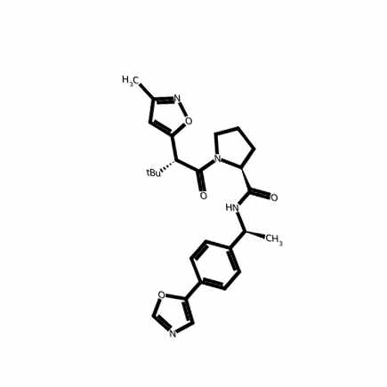 Cc1cc([C@H](C(=O)N2CCC[C@H]2C(=O)N[C@@H](C)c2ccc(-c3cnco3)cc2)C(C)(C)C)on1